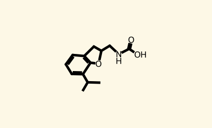 CC(C)c1cccc2c1OC(CNC(=O)O)C2